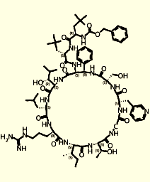 CC[C@H](C)[C@@H]1NC(=O)[C@@H](CCCNC(=N)N)NC(=O)[C@H](CC(C)C)NC(=O)[C@H]([C@H](O)C(C)C)NC(=O)[C@@H](NC(=O)[C@H](CC(C)(C)C)NC(=O)[C@@H](CC(C)(C)C)NC(=O)OCc2ccccc2)[C@@H](c2ccccc2)NC(=O)[C@H](CO)NC(=O)[C@H](Cc2cccnc2)NC(=O)CNC(=O)[C@H]([C@H](C)O)NC1=O